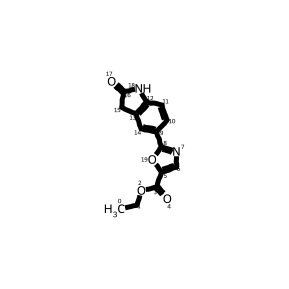 CCOC(=O)c1cnc(-c2ccc3c(c2)CC(=O)N3)o1